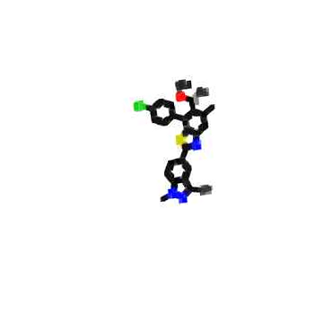 CC(=O)[C@@H](OC(C)(C)C)c1c(C)cc2nc(-c3ccc4c(c3)c(C(C)C)nn4C)sc2c1-c1ccc(Cl)cc1